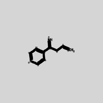 C=CCC(=N)c1ccncc1